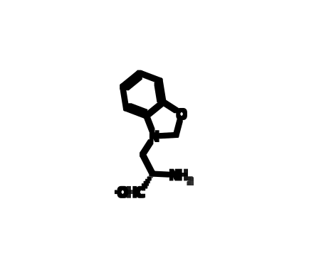 N[C@H]([C]=O)CN1COc2ccccc21